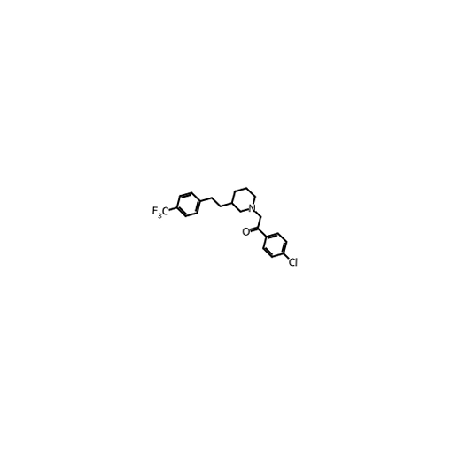 O=C(CN1CCCC(CCc2ccc(C(F)(F)F)cc2)C1)c1ccc(Cl)cc1